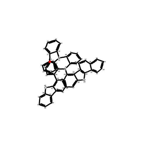 c1ccc(N(c2ccccc2-n2c3ccccc3c3ccccc32)c2cccc3oc4c5ccccc5ccc4c23)c(-c2cccc3c2oc2ccccc23)c1